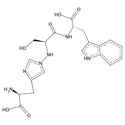 N[C@@H](Cc1cn(N[C@@H](CO)C(=O)N[C@@H](Cc2c[nH]c3ccccc23)C(=O)O)cn1)C(=O)O